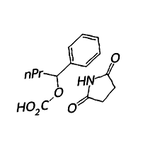 CCCC(OC(=O)O)c1ccccc1.O=C1CCC(=O)N1